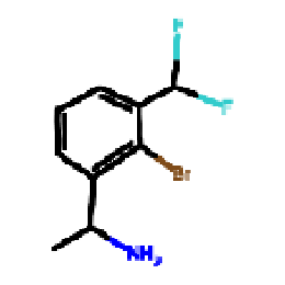 CC(N)c1cccc(C(F)F)c1Br